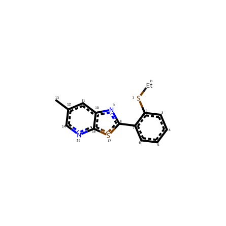 CCSc1ccccc1-c1nc2cc(C)cnc2s1